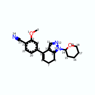 COc1cc(C2=CCCc3c2cnn3C2CCCCO2)ccc1C#N